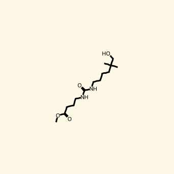 COC(=O)CCCNC(=O)NCCCCC(C)(C)CO